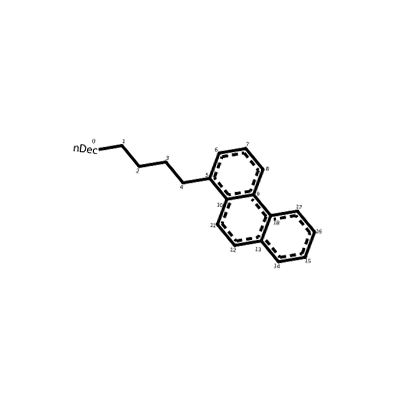 [CH2]CCCCCCCCCCCCCc1cccc2c1ccc1ccccc12